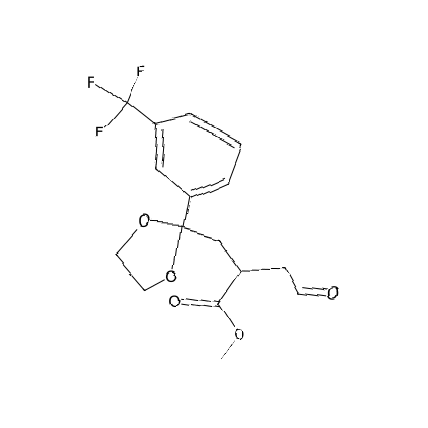 COC(=O)C(CC=O)CC1(c2cccc(C(F)(F)F)c2)OCCO1